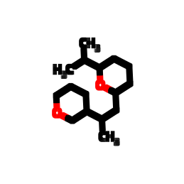 CC(C)C1CCCC(CC(C)C2CCCOC2)O1